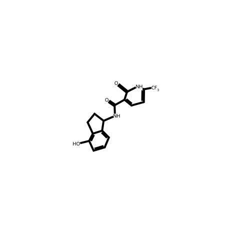 O=C(NC1CCc2c(O)cccc21)c1ccc(C(F)(F)F)[nH]c1=O